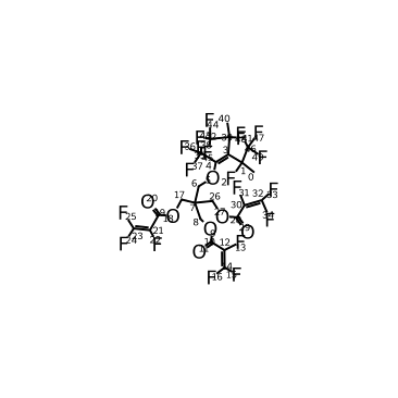 CC(F)(C(=C(OCC(COC(=O)C(F)=C(F)F)(COC(=O)C(F)=C(F)F)COC(=O)C(F)=C(F)F)C(F)(F)F)C(C)(F)C(F)(F)F)C(F)(F)F